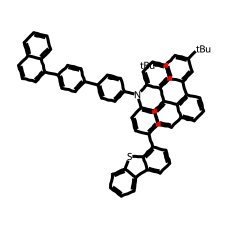 CC(C)(C)c1cc(-c2cccc3cccc(-c4ccccc4N(c4ccc(-c5ccc(-c6cccc7ccccc67)cc5)cc4)c4ccc(-c5cccc6c5sc5ccccc56)cc4)c23)cc(C(C)(C)C)c1